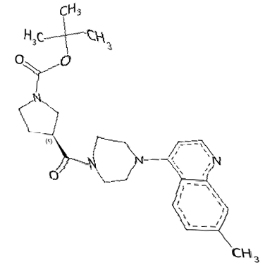 Cc1ccc2c(N3CCN(C(=O)[C@H]4CCN(C(=O)OC(C)(C)C)C4)CC3)ccnc2c1